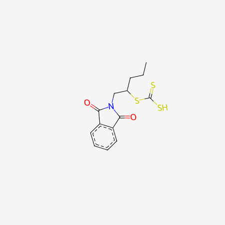 CCCC(CN1C(=O)c2ccccc2C1=O)SC(=S)S